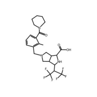 Cc1c(CN2CC3C(C(=O)O)NC(C(C(F)(F)F)C(F)(F)F)C3C2)cccc1C(=O)N1CCCCC1